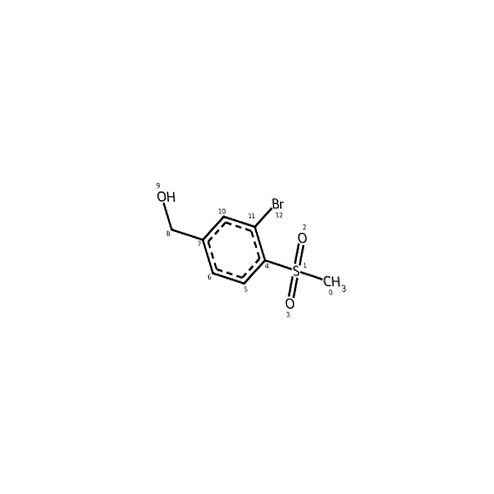 CS(=O)(=O)c1ccc(CO)cc1Br